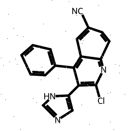 N#Cc1ccc2nc(Cl)c(-c3cnc[nH]3)c(-c3ccccc3)c2c1